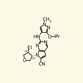 CC[C@@H]1COC[C@H]1n1c(C#N)cc2cnc(Nc3cn(C)nc3OC(C)C)nc21